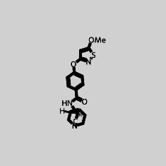 COc1cc(Oc2ccc(C(=O)N[C@H]3CN4CCC3CC4)cc2)ns1